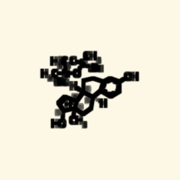 CC(C)(C)[Si](C)(C)O[Si](C)(C)C(C)(C)C.C[C@]12CC[C@@H]3c4ccc(O)cc4CC[C@H]3[C@@H]1C=C[C@@H]2O